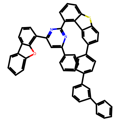 c1ccc(-c2cccc(-c3ccc(-c4ccc5sc6cccc(-c7nc(-c8ccccc8)cc(-c8cccc9c8oc8ccccc89)n7)c6c5c4)cc3)c2)cc1